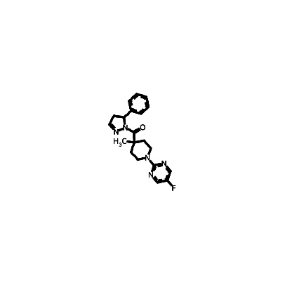 CC1(C(=O)N2N=CCC2c2ccccc2)CCN(c2ncc(F)cn2)CC1